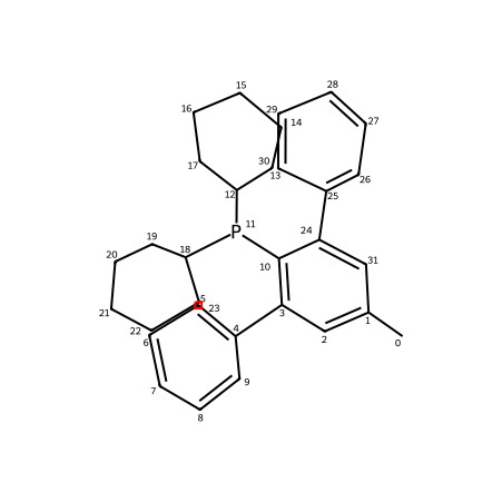 Cc1cc(-c2ccccc2)c(P(C2CCCCC2)C2CCCCC2)c(-c2ccccc2)c1